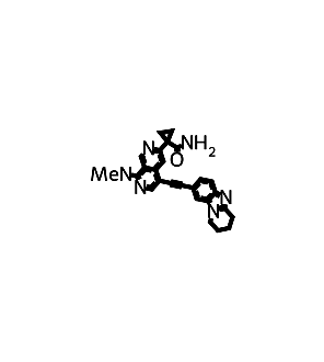 CNc1ncc(C#Cc2ccc3nc4n(c3c2)CCCC4)c2cc(C3(C(N)=O)CC3)ncc12